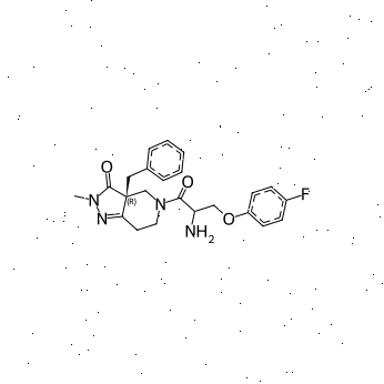 CN1N=C2CCN(C(=O)C(N)COc3ccc(F)cc3)C[C@@]2(Cc2ccccc2)C1=O